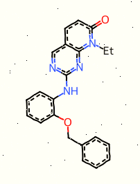 CCn1c(=O)ccc2cnc(Nc3ccccc3OCc3ccccc3)nc21